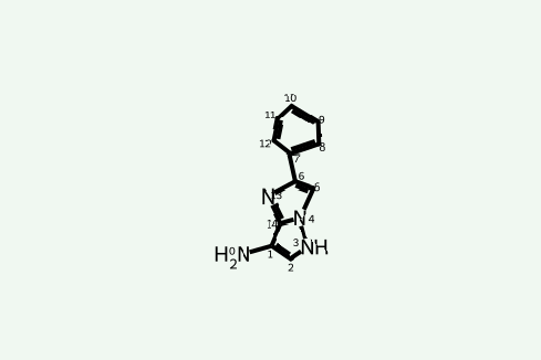 Nc1c[nH]n2cc(-c3ccccc3)nc12